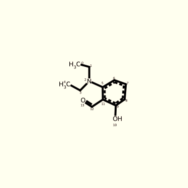 CCN(CC)c1cccc(O)c1C=O